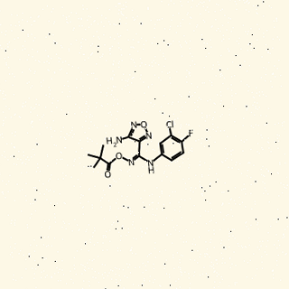 CC(C)(C)C(=O)O/N=C(/Nc1ccc(F)c(Cl)c1)c1nonc1N